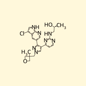 C[C@H](O)CNc1nccc(-c2cn(CC3(C)COC3)nc2-c2cnc3[nH]cc(Cl)c3c2)n1